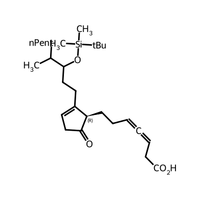 CCCCCC(C)C(CCC1=CCC(=O)[C@@H]1CCC=C=CCC(=O)O)O[Si](C)(C)C(C)(C)C